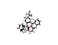 C/C=C(\C)c1ccc2ccccc2c1-c1cc(C(F)(F)F)ccc1P(c1ccccc1)c1ccccc1